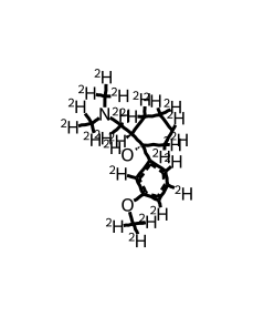 [2H]O[C@@]1(c2c([2H])c([2H])c([2H])c(OC([2H])([2H])[2H])c2[2H])C([2H])([2H])C([2H])([2H])C([2H])([2H])C([2H])([2H])[C@@]1([2H])C([2H])([2H])N(C([2H])([2H])[2H])C([2H])([2H])[2H]